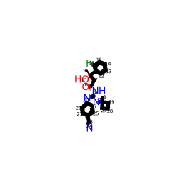 CC1(n2c(NC(=O)C[C@](C)(O)c3ccccc3F)nc3ccc(C#N)cc32)CCC1